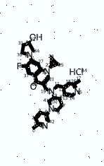 Cc1ccc(N2CCC[C@H](N(Cc3ccnc(C)c3)Cc3cn(C4CC4)c4cc(N5CC[C@@H](O)C5)c(F)cc4c3=O)C2)cn1.Cl